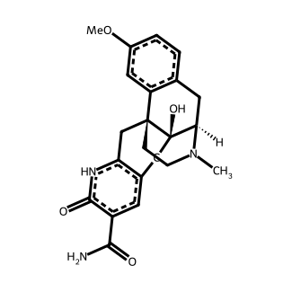 COc1ccc2c(c1)[C@]13CCN(C)[C@H](C2)[C@]1(O)Cc1cc(C(N)=O)c(=O)[nH]c1C3